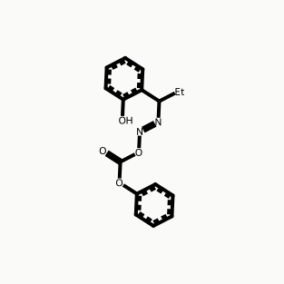 CCC(N=NOC(=O)Oc1ccccc1)c1ccccc1O